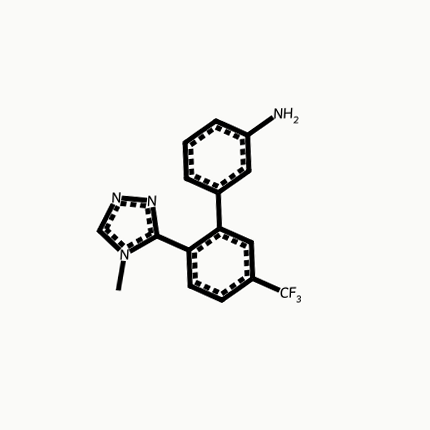 Cn1cnnc1-c1ccc(C(F)(F)F)cc1-c1cccc(N)c1